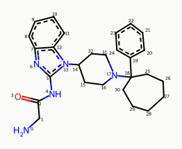 NCC(=O)Nc1nc2ccccc2n1C1CCN(C2(c3ccccc3)CCCCCC2)CC1